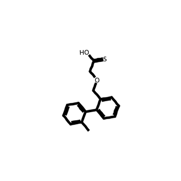 Cc1ccccc1-c1ccccc1COCC(O)=S